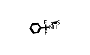 FC(F)(N[C]=S)c1ccccc1